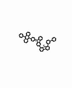 c1ccc(-c2cccc(-c3cccc4c3sc3c(-c5ccc6c(c5)c5ccccc5n6-c5ccc(-c6c7ccccc7c(-c7ccccc7)c7ccccc67)cc5)cccc34)c2)cc1